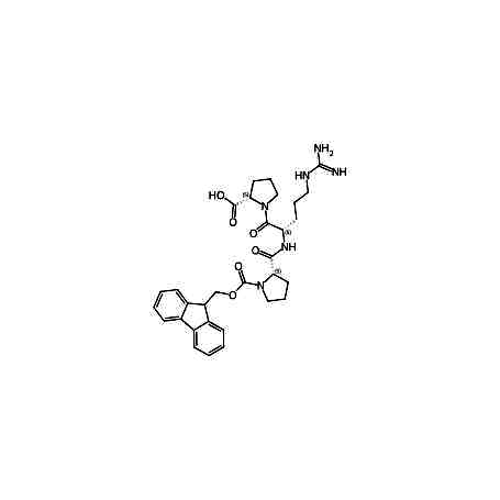 N=C(N)NCCC[C@H](NC(=O)[C@@H]1CCCN1C(=O)OCC1c2ccccc2-c2ccccc21)C(=O)N1CCC[C@H]1C(=O)O